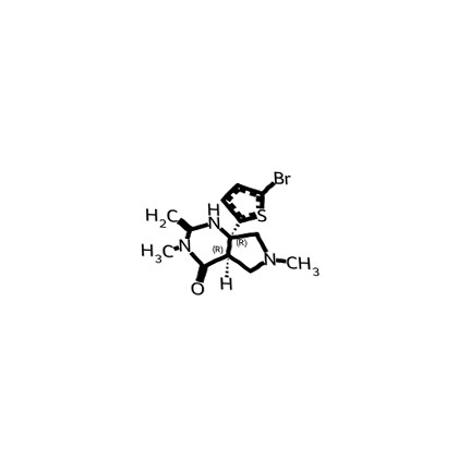 C=C1N[C@@]2(c3ccc(Br)s3)CN(C)C[C@H]2C(=O)N1C